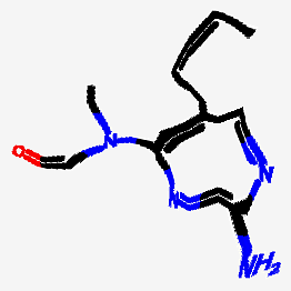 C/C=C\c1cnc(N)nc1N(C)C=O